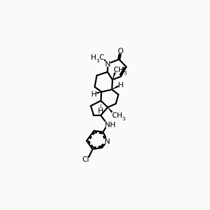 CN1C(=O)C=C[C@@]2(C)C1CC[C@@H]1[C@H]2CC[C@]2(C)C(Nc3ccc(Cl)cn3)CC[C@@H]12